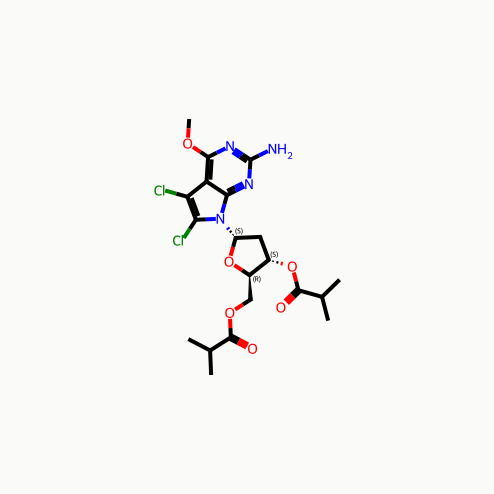 COc1nc(N)nc2c1c(Cl)c(Cl)n2[C@@H]1C[C@H](OC(=O)C(C)C)[C@@H](COC(=O)C(C)C)O1